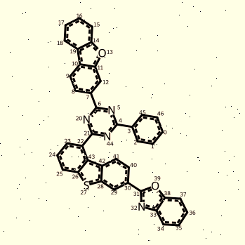 c1ccc(-c2nc(-c3ccc4c(c3)oc3ccccc34)nc(-c3cccc4sc5cc(-c6nc7ccccc7o6)ccc5c34)n2)cc1